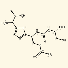 C[C@@H](O)[C@H](N)c1cnc([C@H](CCC(N)=O)NC(=O)N[C@@H](CO)C(=O)O)s1